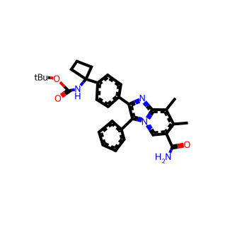 Cc1c(C(N)=O)cn2c(-c3ccccc3)c(-c3ccc(C4(NC(=O)OC(C)(C)C)CCC4)cc3)nc2c1C